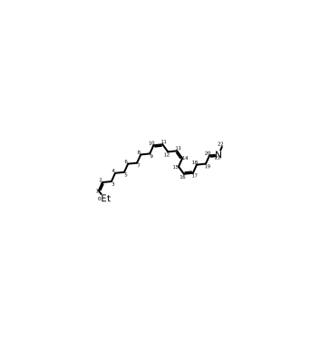 CC/C=C\CCCCCCC/C=C\C/C=C\C/C=C\CC/C=N/C